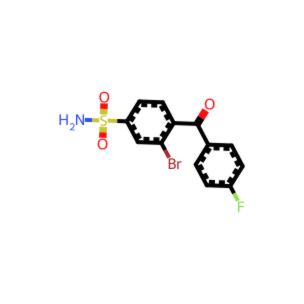 NS(=O)(=O)c1ccc(C(=O)c2ccc(F)cc2)c(Br)c1